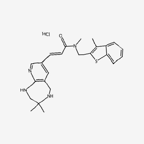 Cc1c(CN(C)C(=O)C=Cc2cnc3c(c2)CNC(C)(C)CN3)sc2ccccc12.Cl